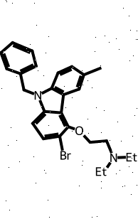 CCN(CC)CCOc1c(Br)ccc2c1c1cc(C)ccc1n2Cc1ccccc1